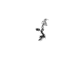 COc1ccc(CN2CCN(C3CC4(CCN(c5cc(Oc6cnc7[nH]ccc7c6)c(C(=O)NS(=O)(=O)c6cc([N+](=O)[O-])c(NCC7(F)CCOCC7)c7[nH]cnc67)cc5F)CC4)C3)C(c3ccccc3C(C)C)C2)cc1